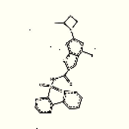 CC1CCN1c1cc(F)c2cc(C(=O)NS(=O)(=O)c3ccccc3-c3ccccc3)oc2c1